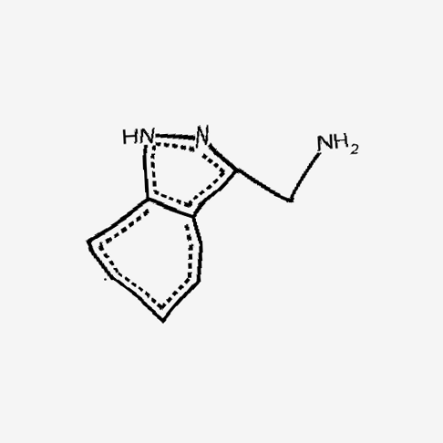 NCc1n[nH]c2c[c]ccc12